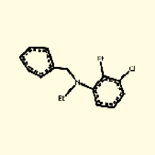 CCc1c(Cl)cccc1N(CC)Cc1ccccc1